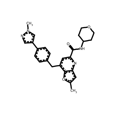 Cc1cc2nc(C(=O)NC3CCOCC3)cc(Cc3ccc(-c4cnn(C)c4)cc3)c2o1